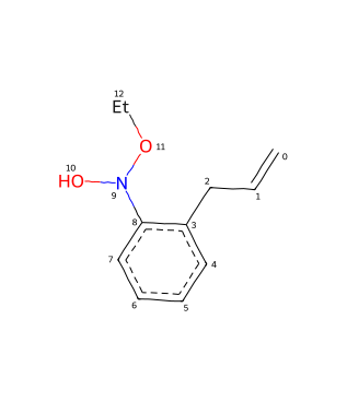 C=CCc1ccccc1N(O)OCC